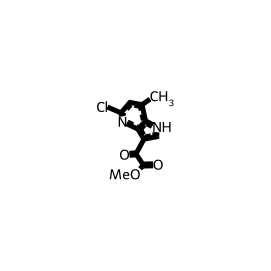 COC(=O)C(=O)c1c[nH]c2c(C)cc(Cl)nc12